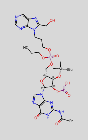 CC(C)C(=O)Nc1nc2c(ncn2[C@@H]2O[C@H](COP(=O)(OCCC#N)OCCCn3c(CO)nc4cncnc43)[C@@H](O[Si](C)(C)C(C)(C)C)[C@H]2O[PH](=O)O)c(=O)[nH]1